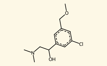 COCc1cc(Cl)cc(C(O)CN(C)C)c1